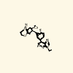 CCn1cnc2c(-c3ccc(F)c(-c4cc5c(cc4OC)NCCO5)c3)cnnc21